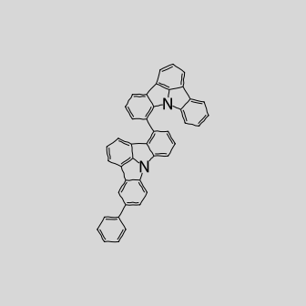 c1ccc(-c2ccc3c(c2)c2cccc4c5c(-c6cccc7c8cccc9c%10ccccc%10n(c67)c98)cccc5n3c24)cc1